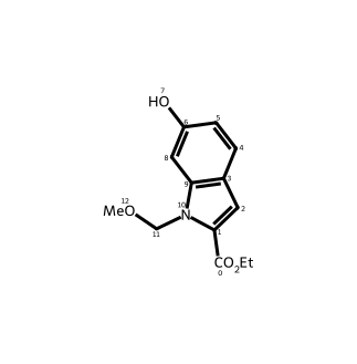 CCOC(=O)c1cc2ccc(O)cc2n1COC